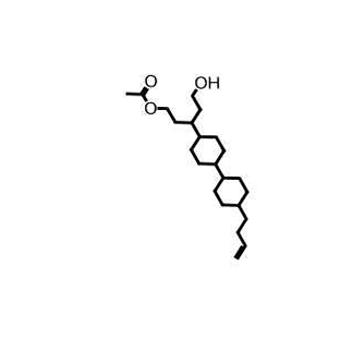 C=CCCC1CCC(C2CCC(C(CCO)CCOC(C)=O)CC2)CC1